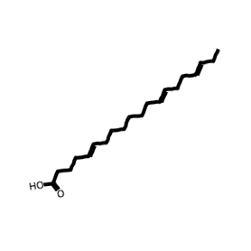 CCC=CCCC=CCCCCCCC=CCCCC(=O)O